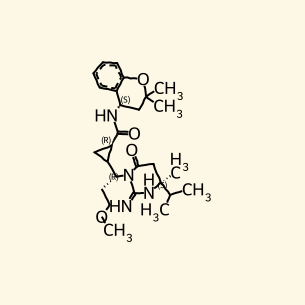 COCC[C@H](C1C[C@H]1C(=O)N[C@H]1CC(C)(C)Oc2ccccc21)N1C(=N)N[C@](C)(C(C)C)CC1=O